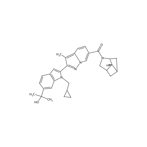 Cc1c(-c2cc3ccc(C(C)(C)O)cc3n2CC2CC2)nn2cc(C(=O)N3CC4CC5CC3[C@H]54)ccc12